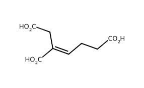 O=C(O)CC/C=C(\CC(=O)O)C(=O)O